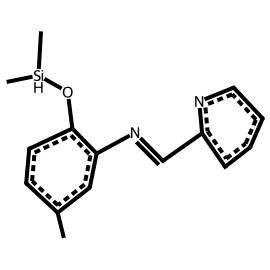 Cc1ccc(O[SiH](C)C)c(N=Cc2ccccn2)c1